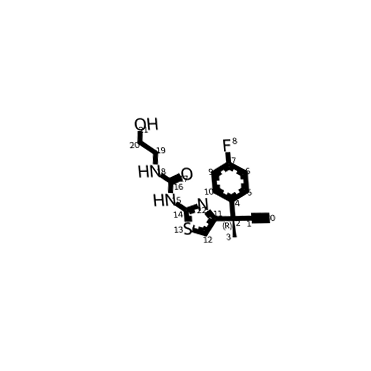 C#C[C@@](C)(c1ccc(F)cc1)c1csc(NC(=O)NCCO)n1